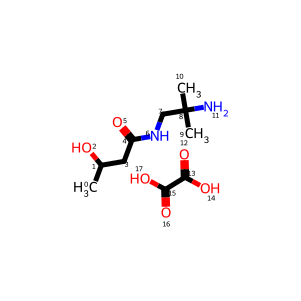 CC(O)CC(=O)NCC(C)(C)N.O=C(O)C(=O)O